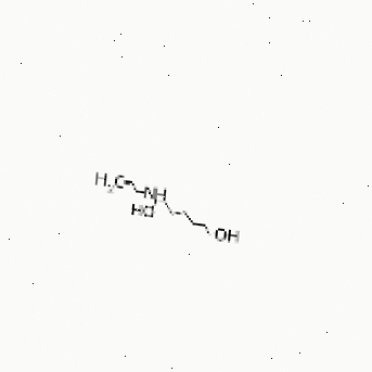 C=CCNC(O)CCCCCCO